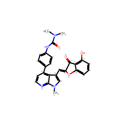 CN(C)C(=O)Nc1ccc(-c2ccnc3c2c(/C=C2\Oc4cccc(O)c4C2=O)cn3C)cc1